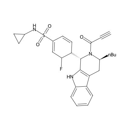 C#CC(=O)N1[C@@H](CCCC)Cc2c([nH]c3ccccc23)[C@@H]1C1C=CC(S(=O)(=O)NC2CC2)=CC1F